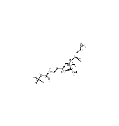 CC(C)(C)OC(=O)NCCCC[C@](C)(NC(=O)CCN)C(=O)O